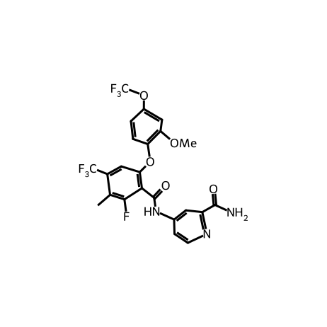 COc1cc(OC(F)(F)F)ccc1Oc1cc(C(F)(F)F)c(C)c(F)c1C(=O)Nc1ccnc(C(N)=O)c1